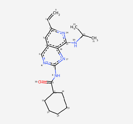 C=Cc1cc2cnc(NC(=O)C3CCCCC3)nc2c(NC(C)C)n1